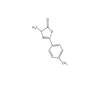 Cc1ccc(C2=NC(C)C(=O)O2)cc1